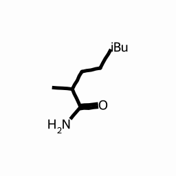 CCC(C)CCC(C)C(N)=O